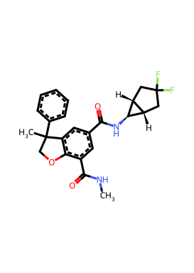 CNC(=O)c1cc(C(=O)N[C@H]2[C@@H]3CC(F)(F)C[C@@H]32)cc2c1OCC2(C)c1ccccc1